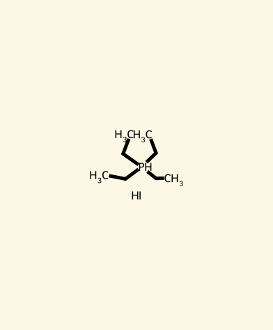 CC[PH](CC)(CC)CC.I